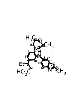 CCC(CC(=O)O)c1ccc(N2C[C@@H](C)O[C@@H](C)C2)c(Nc2ccc3nc(C)sc3c2)c1